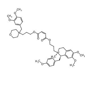 COc1ccc(C[C@@H]2c3cc(OC)c(OC)cc3CC[N@@+]2(C)CCCOC(=O)/C=C\C(=O)OCCC[N+]2(Cc3ccc(OC)c(OC)c3)CCOCC2)cc1